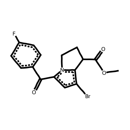 COC(=O)C1CCn2c(C(=O)c3ccc(F)cc3)cc(Br)c21